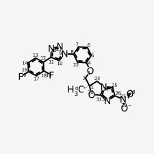 C[C@]1(COc2cccc(-n3cc(-c4ccc(F)cc4F)nn3)c2)Cn2cc([N+](=O)[O-])nc2O1